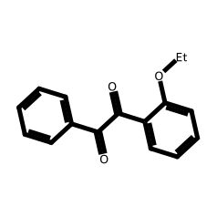 [CH2]COc1ccccc1C(=O)C(=O)c1ccccc1